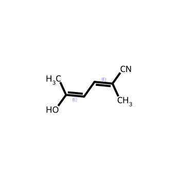 C/C(O)=C\C=C(/C)C#N